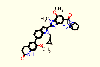 COc1cc2c(cc1-c1ccc3cc(-c4nc5cc(C(=O)N6CC7CCC6[C@@H]7N)cc(OC)c5n4C)n(CC4CC4)c3c1)CCC(=O)N2